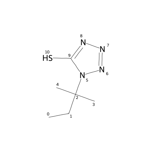 CCC(C)(C)n1nnnc1S